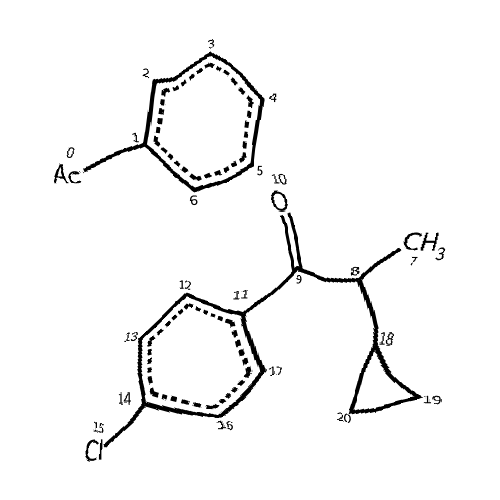 CC(=O)c1ccccc1.CC(C(=O)c1ccc(Cl)cc1)C1CC1